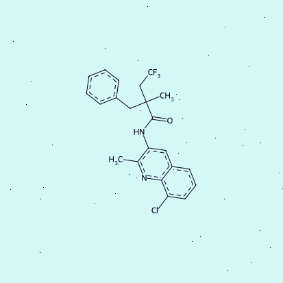 Cc1nc2c(Cl)cccc2cc1NC(=O)C(C)(Cc1ccccc1)CC(F)(F)F